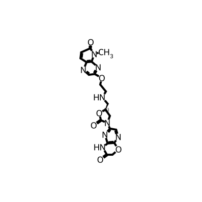 Cn1c(=O)ccc2ncc(OCCNC[C@H]3CN(c4cnc5c(n4)NC(=O)CO5)C(=O)O3)nc21